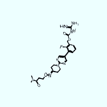 CN(C)C(=O)CCON=C1CCN(c2ncc(-c3cccc(COC(=O)NC(=N)N)c3F)cn2)CC1